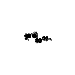 Cc1cc(Nc2ncnc3cnc(N4CC[C@H](S(C)(=O)=O)C4)nc23)ccc1Oc1ccc2c(c1)ncn2C